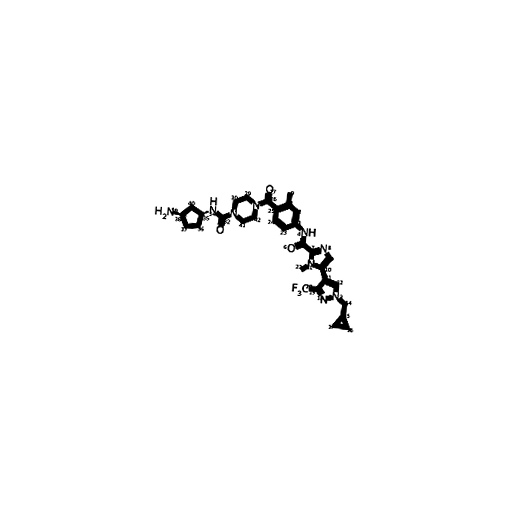 Cc1cc(NC(=O)c2ncc(-c3cn(CC4CC4)nc3C(F)(F)F)n2C)ccc1C(=O)N1CCN(C(=O)N[C@@H]2CC[C@@H](N)C2)CC1